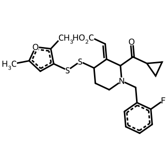 Cc1cc(SSC2CCN(Cc3ccccc3F)C(C(=O)C3CC3)/C2=C/C(=O)O)c(C)o1